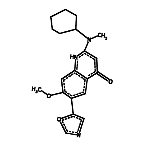 COc1cc2[nH]c(N(C)C3CCCCC3)cc(=O)c2cc1-c1cnco1